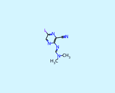 CN(C)C=Nc1ncc(I)nc1C#N